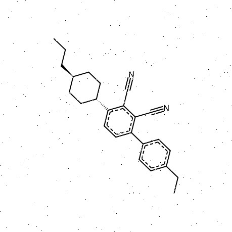 CCC[C@H]1CC[C@H](c2ccc(-c3ccc(CC)cc3)c(C#N)c2C#N)CC1